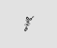 N#Cc1cccc(-c2ccccc2S(=O)(=O)c2ccc(NC(=O)NCc3ccncc3)cc2)c1